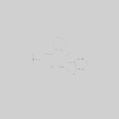 C=CC(c1ccccc1C(F)(F)F)S(=O)(=O)N1CCCCC1CCCC(=O)O